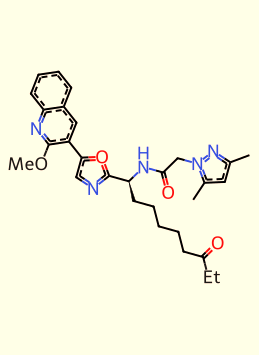 CCC(=O)CCCCC[C@H](NC(=O)Cn1nc(C)cc1C)c1ncc(-c2cc3ccccc3nc2OC)o1